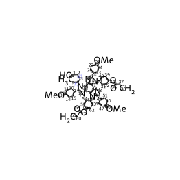 C#C/C=C\C(=C/C)n1c(-c2ccc(OC)cc2)nc2c1c1nc(-c3ccc(OC)cc3)n(-c3ccc(OC(=O)C=C)cc3)c1c1nc(-c3ccc(OC)cc3)n(-c3ccc(OC(=O)C=C)cc3)c21